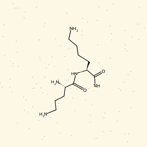 [NH]C(=O)[C@H](CCCCN)NC(=O)[C@@H](N)CCCN